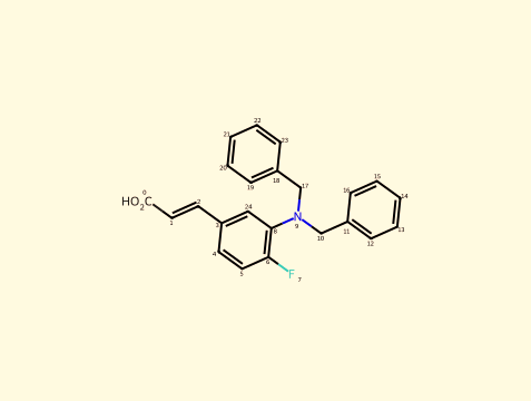 O=C(O)C=Cc1ccc(F)c(N(Cc2ccccc2)Cc2ccccc2)c1